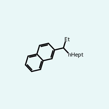 CCCCCCCC(CC)c1ccc2ccccc2c1